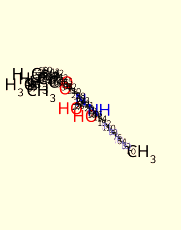 CC/C=C/C/C=C/C/C=C/C/C=C/CCCCC(O)NCCCCN(CCO)CCCCCC(=O)OC1CCC2(C)C(=CCC3C2CCC2(C)C(C(C)CCCC(C)C)CCC32)C1